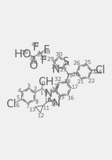 CC(c1ccc(Cl)cc1)n1c(C2CC2)nc2ccc(C(c3ccc(Cl)cc3)c3nccs3)cc21.O=C(O)C(F)(F)F